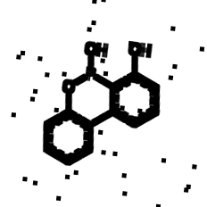 Oc1cccc2c1P(O)Oc1ccccc1-2